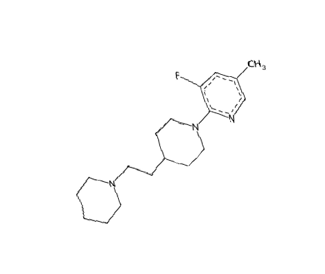 Cc1cnc(N2CCC(CCN3CCCCC3)CC2)c(F)c1